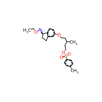 CCO/N=C1\CCc2cc(OCCC(C)CCOS(=O)(=O)c3ccc(C)cc3)ccc21